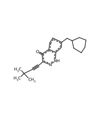 CC(C)(C)C#Cc1n[nH]c2cc(CC3CCCCC3)ccc2c1=O